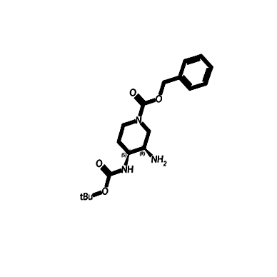 CC(C)(C)OC(=O)N[C@H]1CCN(C(=O)OCc2ccccc2)C[C@H]1N